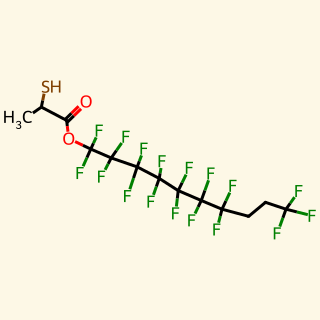 CC(S)C(=O)OC(F)(F)C(F)(F)C(F)(F)C(F)(F)C(F)(F)C(F)(F)C(F)(F)CCC(F)(F)F